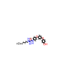 CCCCCCCCCCCCCCNNC(=O)Nc1ccc(Oc2ccc(Oc3ccc(O)cc3)cc2)cc1